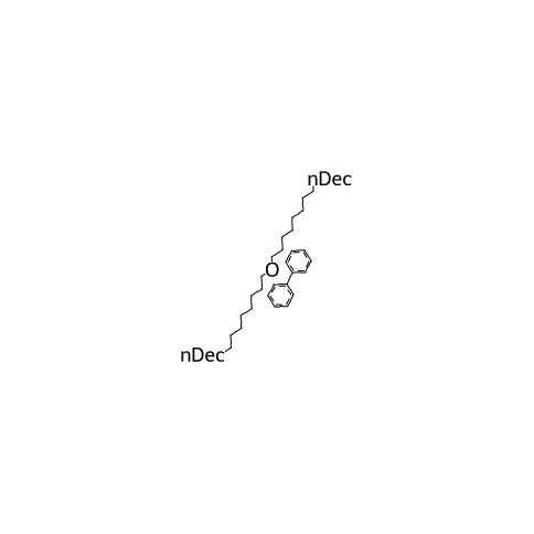 CCCCCCCCCCCCCCCCCCOCCCCCCCCCCCCCCCCCC.c1ccc(-c2ccccc2)cc1